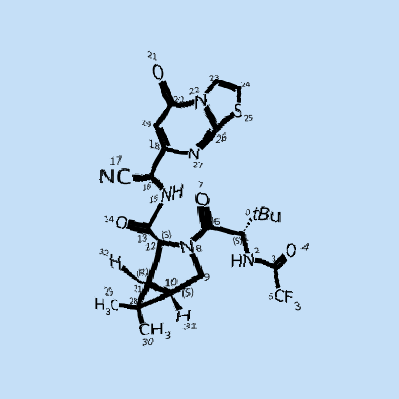 CC(C)(C)[C@H](NC(=O)C(F)(F)F)C(=O)N1C[C@H]2[C@@H]([C@H]1C(=O)NC(C#N)c1cc(=O)n3ccsc3n1)C2(C)C